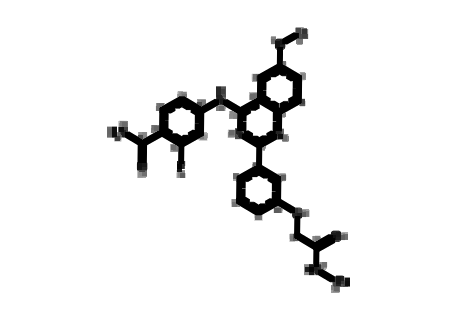 CCOc1ccc2nc(-c3cccc(OCC(=O)NC(C)(C)C)c3)nc(Nc3ccc(C(N)=O)c(F)c3)c2c1